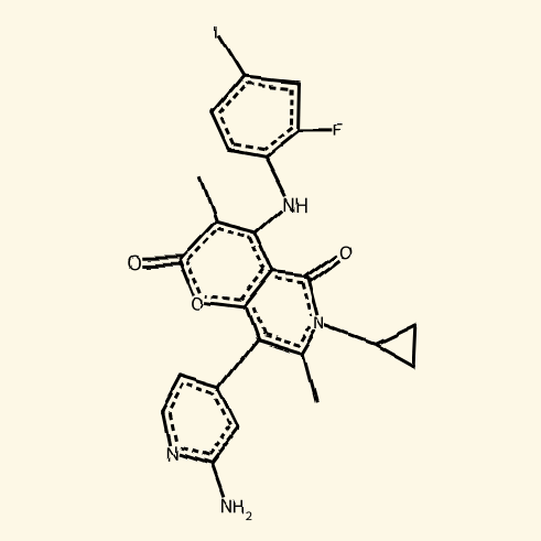 Cc1c(Nc2ccc(I)cc2F)c2c(=O)n(C3CC3)c(C)c(-c3ccnc(N)c3)c2oc1=O